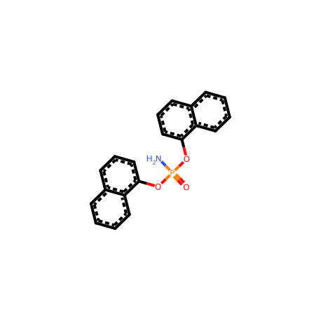 NP(=O)(Oc1cccc2ccccc12)Oc1cccc2ccccc12